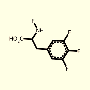 O=C(O)C(Cc1cc(F)c(F)c(F)c1)NF